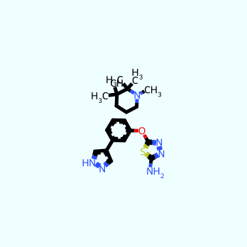 CN1CCCC(C)(C)C1(C)C.Nc1nnc(Oc2cccc(-c3cn[nH]c3)c2)s1